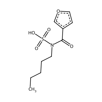 CCCCCN(C(=O)c1ccoc1)S(=O)(=O)O